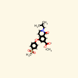 COC(=O)c1cc(Oc2ccc(S(C)(=O)=O)cc2)c2c(c1)C(=O)N(CC(C)C)CC2